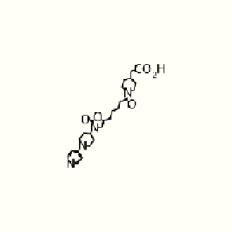 O=C(O)CC1CCN(C(=O)CCCCC2CN(C3CCN(c4ccncc4)CC3)C(=O)O2)CC1